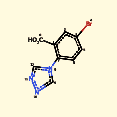 O=C(O)c1cc(Br)ccc1-n1cnnc1